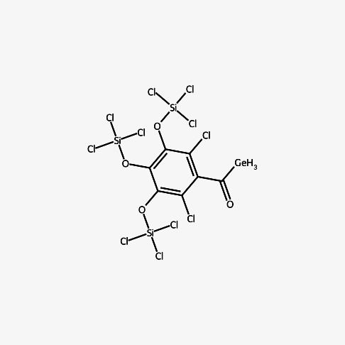 O=[C]([GeH3])c1c(Cl)c(O[Si](Cl)(Cl)Cl)c(O[Si](Cl)(Cl)Cl)c(O[Si](Cl)(Cl)Cl)c1Cl